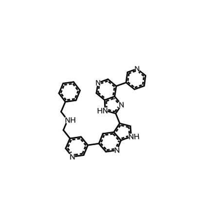 c1ccc(CNCc2cncc(-c3cnc4[nH]cc(-c5nc6c(-c7cccnc7)cncc6[nH]5)c4c3)c2)cc1